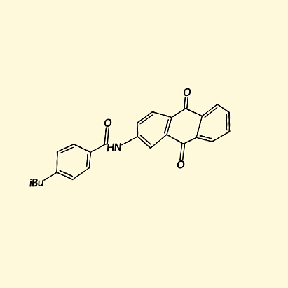 CCC(C)c1ccc(C(=O)Nc2ccc3c(c2)C(=O)c2ccccc2C3=O)cc1